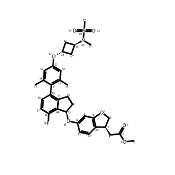 COC(=O)C[C@@H]1COc2cc(O[C@@H]3CCc4c(-c5c(C)cc(O[C@H]6C[C@H](N(C)S(C)(=O)=O)C6)cc5C)ccc(F)c43)ccc21